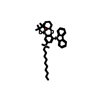 CCCCCCCCCC[Si](C)(C)c1cc(B2OC(C)(C)C(C)(C)O2)c(OC2CCCCO2)c(-n2c3ccccc3c3ccccc32)c1